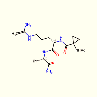 C=C(N)NCCC[C@H](NC(=O)C1(NC(C)=O)CC1)C(=O)N[C@H](C(N)=O)C(C)C